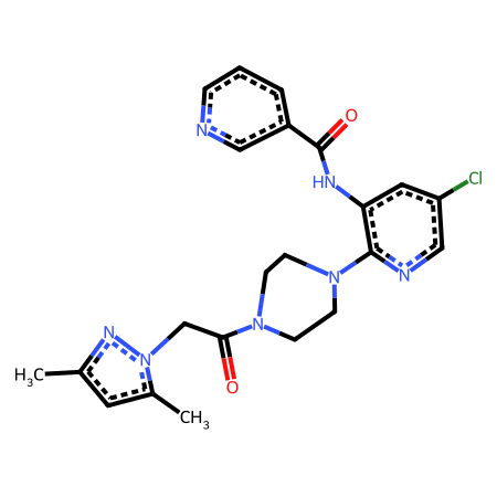 Cc1cc(C)n(CC(=O)N2CCN(c3ncc(Cl)cc3NC(=O)c3cccnc3)CC2)n1